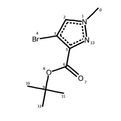 Cn1cc(Br)c(C(=O)OC(C)(C)C)n1